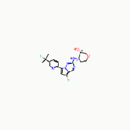 CC(C)(F)c1ccc(-c2cc(F)c3cnc(N[C@@H]4CCOC[C@H]4O)nn23)nc1